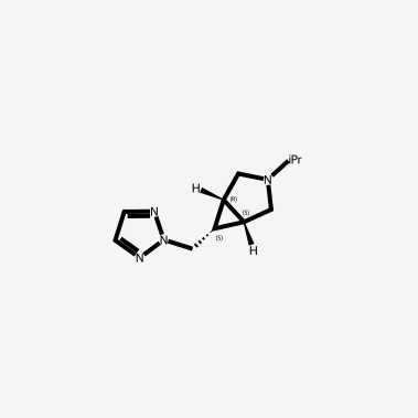 CC(C)N1C[C@@H]2[C@H](C1)[C@@H]2Cn1nccn1